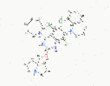 Fc1c(N2CCCc3cccc(Cl)c32)cc(Cl)c2c(N3CCCCCC3)nc(OCC34CCCN3CCC4)nc12